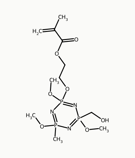 C=C(C)C(=O)OCCOP1(OC)=NP(CO)(OC)=NP(C)(OC)=N1